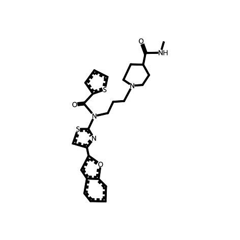 CNC(=O)C1CCN(CCCN(C(=O)c2cccs2)c2nc(-c3cc4ccccc4o3)cs2)CC1